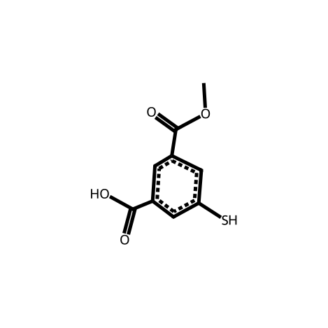 COC(=O)c1cc(S)cc(C(=O)O)c1